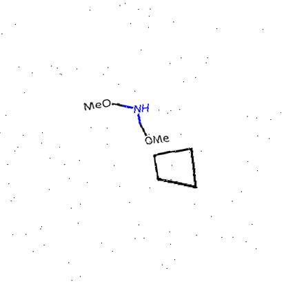 C1CCC1.CONOC